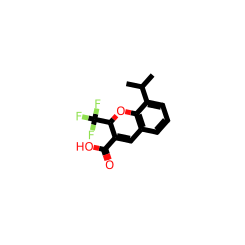 CC(C)c1cccc2c1OC(C(F)(F)F)C(C(=O)O)=C2